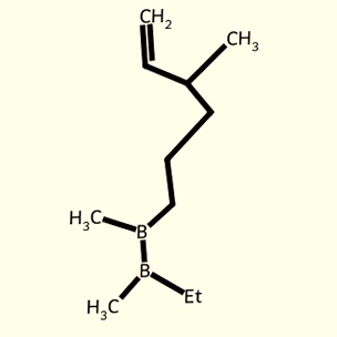 C=CC(C)CCCB(C)B(C)CC